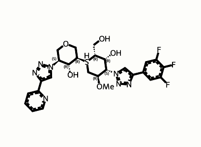 CO[C@H]1C[SH]([C@@H]2COC[C@H](n3cc(-c4ccccn4)nn3)[C@H]2O)[C@H](CO)[C@H](O)[C@@H]1n1cc(-c2cc(F)c(F)c(F)c2)nn1